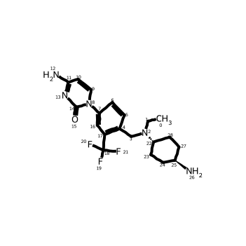 CCN(Cc1ccc(-n2ccc(N)nc2=O)cc1C(F)(F)F)[C@H]1CC[C@H](N)CC1